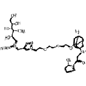 CCCCCCN(Cc1cn(CCOCCOCCOC23CC4C[C@@H](CC(NCC(=O)N5CCC[C@H]5C#N)(C4)C2)C3)nn1)C[C@H](O)[C@@H](O)[C@H](O)[C@H](O)CO